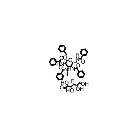 O=C(NC[C@H]1O[C@H](OCc2ccccc2)[C@H](NC(=O)c2ccccc2)[C@@H](NC(=O)c2ccccc2)[C@@H]1NC(=O)c1ccccc1)c1ccccc1.O=C[C@H](O)[C@@H](O)[C@H](F)[C@H](O)CO